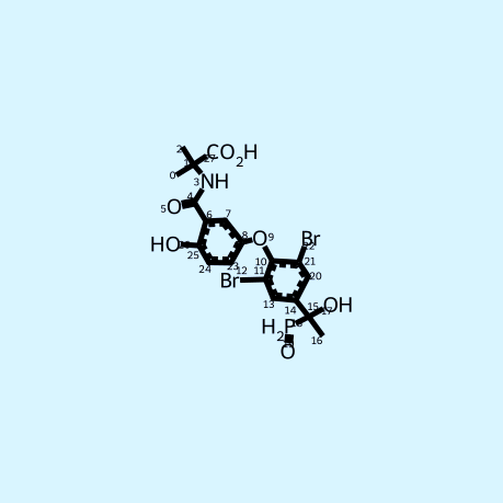 CC(C)(NC(=O)c1cc(Oc2c(Br)cc(C(C)(O)[PH2]=O)cc2Br)ccc1O)C(=O)O